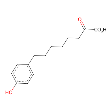 O=C(O)C(=O)CCCCCCc1ccc(O)cc1